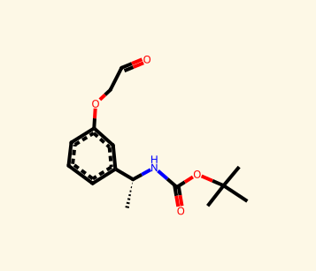 C[C@@H](NC(=O)OC(C)(C)C)c1cccc(OCC=O)c1